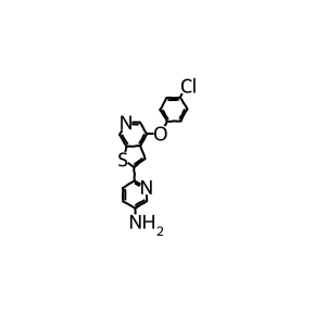 Nc1ccc(-c2cc3c(Oc4ccc(Cl)cc4)cncc3s2)nc1